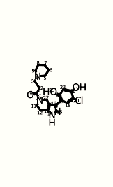 O=C(CCN1CCCCC1)N1CCc2[nH]nc(-c3cc(Cl)c(O)cc3O)c2C1